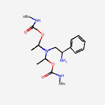 CCCCNC(=O)OC(C)N(CC(N)c1ccccc1)C(C)OC(=O)NCCCC